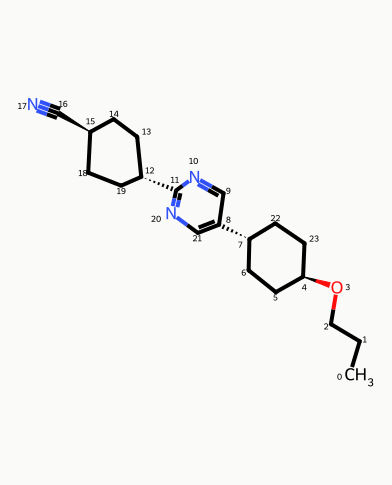 CCCO[C@H]1CC[C@H](c2cnc([C@H]3CC[C@H](C#N)CC3)nc2)CC1